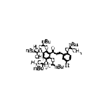 CCCCC(C)Oc1ccc(CC)cc1C=CC(=O)c1c(OC(C)CCCC)c(OC(C)CCCC)cc(OC(C)CCCC)c1OC(C)CCCC